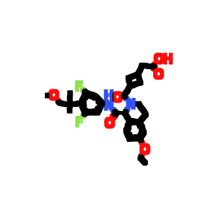 CCOc1ccc2c(c1)CCN(C(=O)C1CC(CC(=O)O)C1)[C@H]2C(=O)Nc1cc(F)c(C(C)(C)COC)c(F)c1